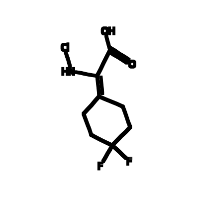 O=C(O)C(NCl)=C1CCC(F)(F)CC1